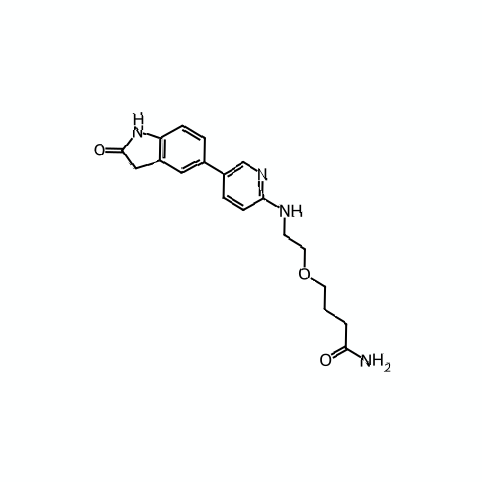 NC(=O)CCCOCCNc1ccc(-c2ccc3c(c2)CC(=O)N3)cn1